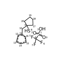 O=S(=O)(O)C(F)(F)F.SC1(Cc2ccccc2)CCCC1